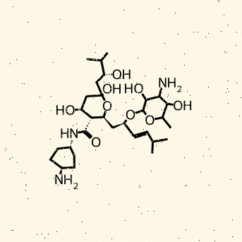 CC(C)/C=C/[C@@H](C[C@@H]1O[C@](O)(C[C@@H](O)C(C)C)C[C@H](O)[C@H]1C(=O)N[C@H]1CC[C@H](N)CC1)OC1OC(C)C(O)C(N)C1O